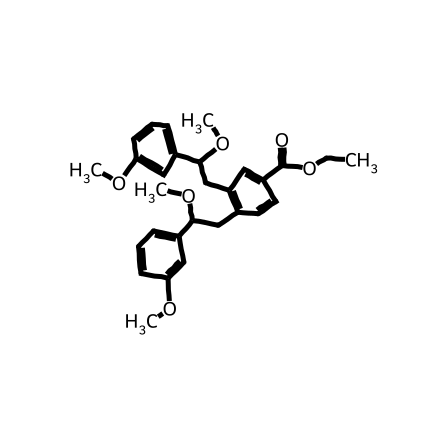 CCOC(=O)c1ccc(CC(OC)c2cccc(OC)c2)c(CC(OC)c2cccc(OC)c2)c1